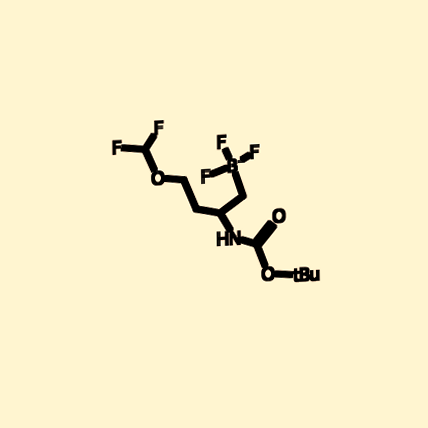 CC(C)(C)OC(=O)NC(CCOC(F)F)C[B-](F)(F)F